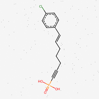 O=P(O)(O)C#CCCCC=Cc1ccc(Cl)cc1